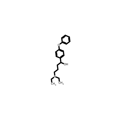 CCN(CC)CCCC(O)c1ccc(Oc2ccccc2)cc1